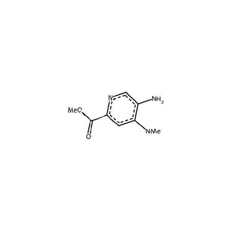 CNc1cc(C(=O)OC)ncc1N